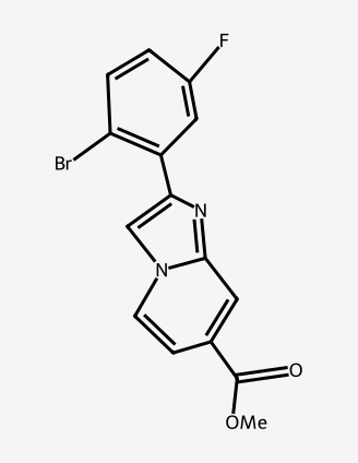 COC(=O)c1ccn2cc(-c3cc(F)ccc3Br)nc2c1